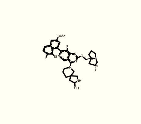 CCc1c(F)ccc2cc(OC)cc(-c3ncc4c(N5CCCC6(CNC(O)C6)C5)nc(OC[C@@]56CCCN5C[C@H](F)C6)nc4c3F)c12